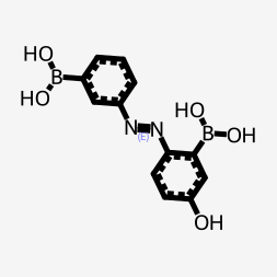 OB(O)c1cccc(/N=N/c2ccc(O)cc2B(O)O)c1